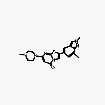 Cc1cc(-c2cn3c(=O)cc(N4CCN(C)CC4)nc3s2)cc2cn(C)nc12